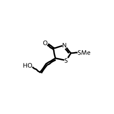 CSC1=NC(=O)C(=C=CO)S1